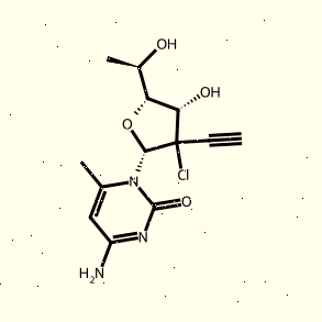 C#CC1(Cl)[C@@H](O)[C@@H]([C@@H](C)O)O[C@H]1n1c(C)cc(N)nc1=O